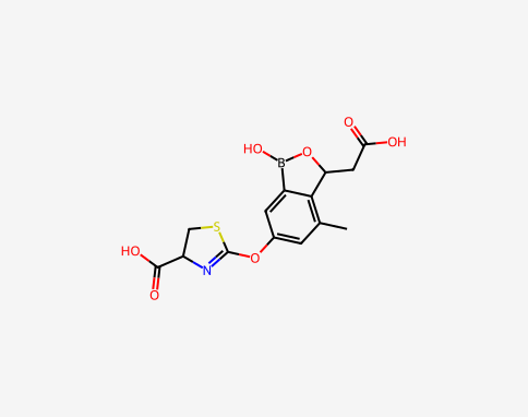 Cc1cc(OC2=NC(C(=O)O)CS2)cc2c1C(CC(=O)O)OB2O